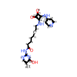 CCc1cnc(NC(=O)CCCCCCCNc2c(Nc3ccncc3)c(=O)c2=O)nc1O